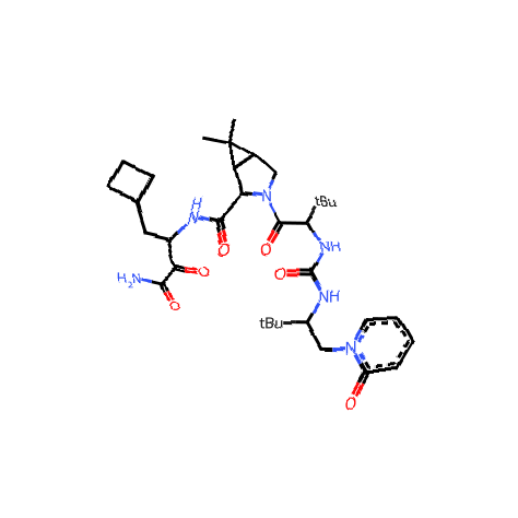 CC(C)(C)C(Cn1ccccc1=O)NC(=O)NC(C(=O)N1CC2C(C1C(=O)NC(CC1CCC1)C(=O)C(N)=O)C2(C)C)C(C)(C)C